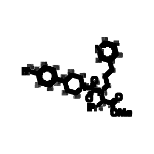 COC(=O)[C@@H](C(C)C)N(CCCc1cccnc1)S(=O)(=O)N1CCC(c2ccc(Br)cc2)CC1